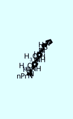 CCCc1nnc(NNc2ccc(NNc3ccc(NNc4ccc(N5CCCC5)s4)cc3C)cc2C)s1